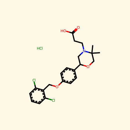 CC1(C)COC(c2ccc(OCc3c(Cl)cccc3Cl)cc2)CN1CCC(=O)O.Cl